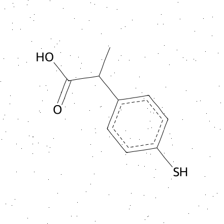 CC(C(=O)O)c1ccc(S)cc1